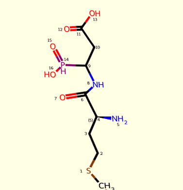 CSCC[C@H](N)C(=O)NC(CC(=O)O)[PH](=O)O